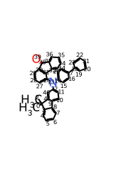 CC1(C)c2ccccc2-c2ccc(N(c3ccc(-c4ccccc4)cc3)c3cccc4c3-c3ccccc3C4=O)cc21